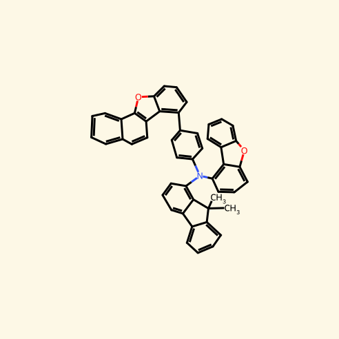 CC1(C)c2ccccc2-c2cccc(N(c3ccc(-c4cccc5oc6c7ccccc7ccc6c45)cc3)c3cccc4oc5ccccc5c34)c21